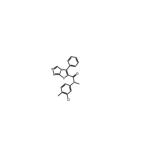 Cc1ccc(N(C)C(=O)c2sc3nncn3c2-c2ccccc2)cc1Cl